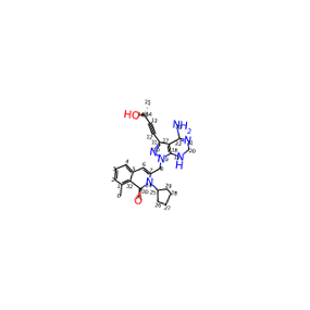 Cc1cccc2cc(Cn3nc(C#C[C@@H](C)O)c4c3NCN=C4N)n(C3CCCC3)c(=O)c12